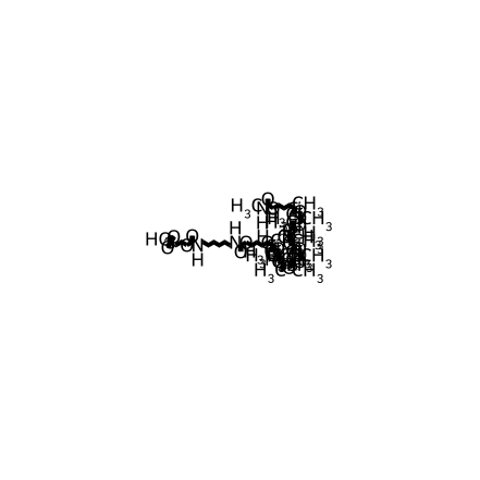 CNC(=O)OCCC[Si](C)(C)O[Si](C)(C)O[Si](C)(C)O[Si](C)(C)O[Si](C)(C)O[Si](C)(C)O[Si](C)(C)O[Si](C)(C)O[Si](C)(C)O[Si](C)(C)OCCCOC(=O)NCCCCCCNC(=O)OCCS(=O)(=O)O